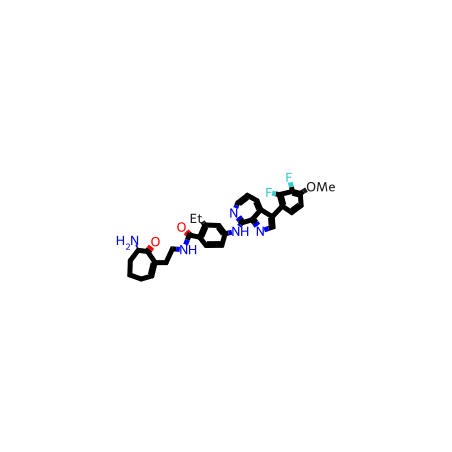 CCc1cc(Nc2ncccc3c(-c4ccc(OC)c(F)c4F)cnc2-3)ccc1C(=O)NCCC1=CCCC[C@H](N)C1=O